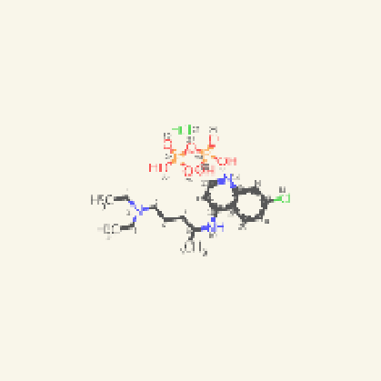 CCN(CC)CCCC(C)Nc1ccnc2cc(Cl)ccc12.Cl.O=P(O)(O)OP(=O)(O)O